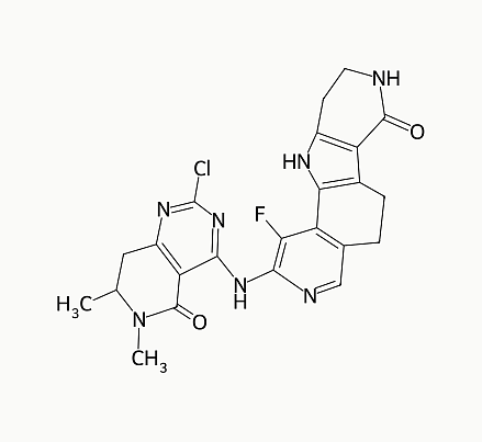 CC1Cc2nc(Cl)nc(Nc3ncc4c(c3F)-c3[nH]c5c(c3CC4)C(=O)NCC5)c2C(=O)N1C